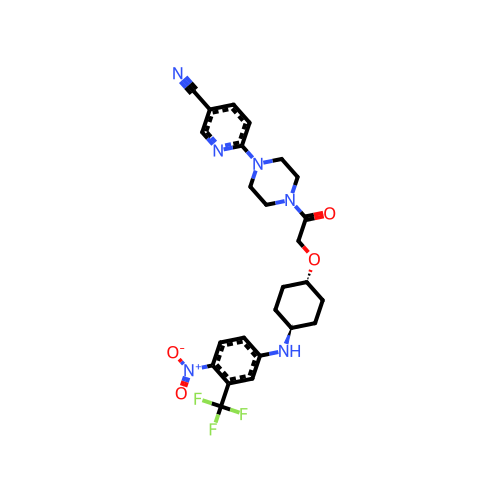 N#Cc1ccc(N2CCN(C(=O)CO[C@H]3CC[C@H](Nc4ccc([N+](=O)[O-])c(C(F)(F)F)c4)CC3)CC2)nc1